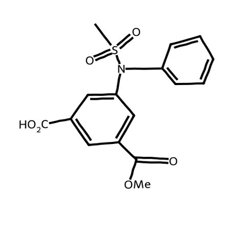 COC(=O)c1cc(C(=O)O)cc(N(c2ccccc2)S(C)(=O)=O)c1